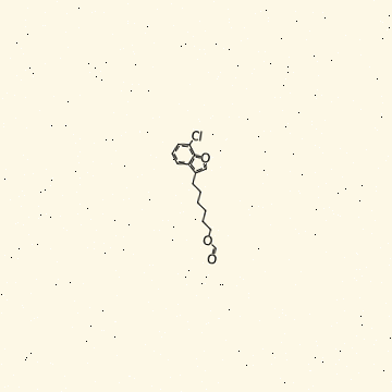 O=COCCCCCCc1coc2c(Cl)cccc12